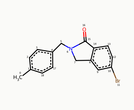 Cc1ccc(CN2Cc3cc(Br)ccc3C2=O)cc1